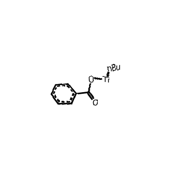 CCC[CH2][Ti][O]C(=O)c1ccccc1